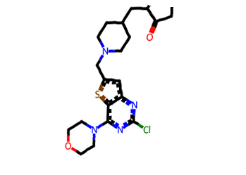 O=C1CCCC1CC1CCN(Cc2cc3nc(Cl)nc(N4CCOCC4)c3s2)CC1